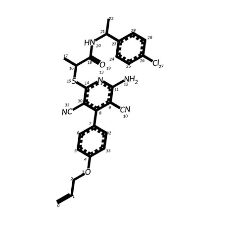 C=CCOc1ccc(-c2c(C#N)c(N)nc(SC(C)C(=O)NC(C)c3ccc(Cl)cc3)c2C#N)cc1